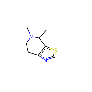 CC1c2scnc2CCN1C